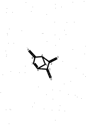 C=C1C(=C)C2CC1=CC2=C